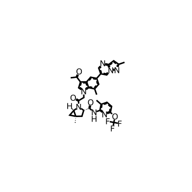 CC(=O)c1cn(CC(=O)N2[C@H](C(=O)Nc3nc(OC(F)(F)F)ccc3C)C[C@@]3(C)C[C@@H]23)c2c(C)cc(-c3cnc4cc(C)nn4c3)cc12